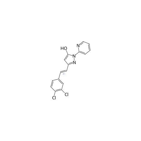 Oc1cc(/C=C/c2ccc(Cl)c(Cl)c2)nn1-c1ccccn1